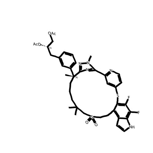 CC(=O)OC[C@H](Cc1cccc([C@@]2(C)CCCC(C)(C)CS(=O)(=O)CCc3c(c(F)c(F)c4[nH]ccc34)Sc3ccnc(c3)-c3nc2nn3C)c1)OC(C)=O